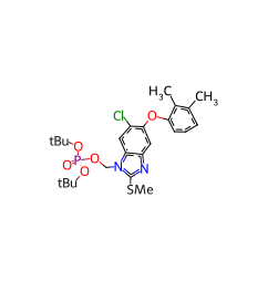 CSc1nc2cc(Oc3cccc(C)c3C)c(Cl)cc2n1COP(=O)(OC(C)(C)C)OC(C)(C)C